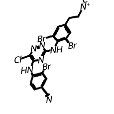 [C-]#[N+]CCc1cc(Br)c(Nc2nnc(Cl)c(Nc3ccc(C#N)cc3Br)n2)c(Br)c1